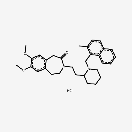 COc1cc2c(cc1OC)CC(=O)N(CCC1CCCCN1Cc1c(C)ccc3ccccc13)CC2.Cl